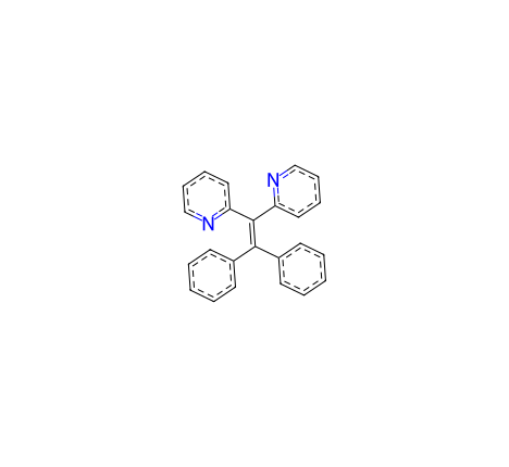 c1ccc(C(=C(c2ccccn2)c2ccccn2)c2ccccc2)cc1